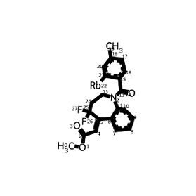 COC(=O)/C=C1/c2ccccc2N(C(=O)c2ccc(C)c[c]2[Rb])CCC1(F)F